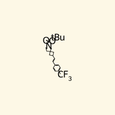 CC(C)(C)OC(=O)N1CCC2(CC(/C=C/c3ccc(C(F)(F)F)cc3)C2)C1